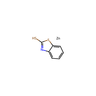 Sc1nc2ccccc2s1.[Zn]